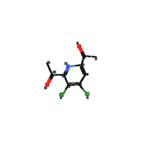 CC(=O)c1cc(Cl)c(Cl)c(C(C)=O)n1